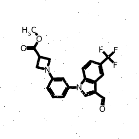 COC(=O)C1CN(c2cccc(-n3cc(C=O)c4cc(C(F)(F)F)ccc43)c2)C1